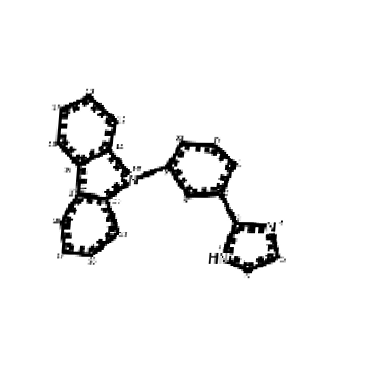 c1cc(-c2ncc[nH]2)cc(-n2c3ccccc3c3ccccc32)c1